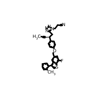 CC#C[C@@H](Cc1nnnn1CCC#N)c1ccc(OCc2cc(F)c3scc(-c4ccccc4C)c3c2)cc1